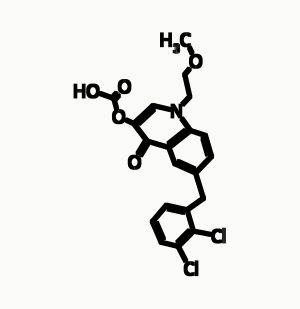 COCCn1cc(OC(=O)O)c(=O)c2cc(Cc3cccc(Cl)c3Cl)ccc21